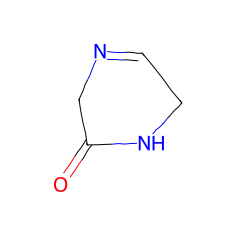 O=C1CN=CCN1